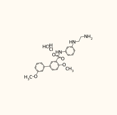 COc1cccc(-c2ccc(OC)c(S(=O)(=O)Nc3cccc(NCCN)c3)c2)c1.Cl.Cl